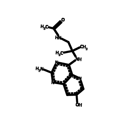 CC(=O)NCC(C)(C)Nc1nc(N)nc2cc(O)cnc12